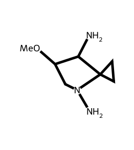 COC1CN(N)C2(CC2)C1N